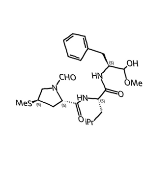 COC(O)[C@H](Cc1ccccc1)NC(=O)[C@H](CC(C)C)NC(=O)[C@@H]1C[C@@H](SC)CN1C=O